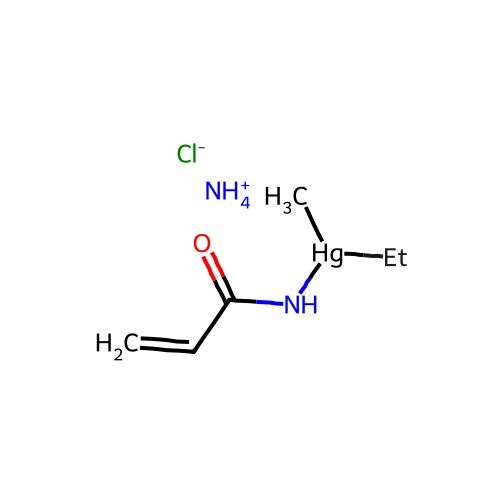 C=CC(=O)[NH][Hg]([CH3])[CH2]C.[Cl-].[NH4+]